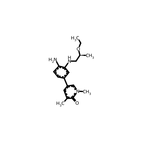 CCO[C@@H](C)CNc1cc(-c2cc(C)c(=O)n(C)c2)ccc1N